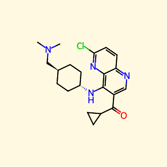 CN(C)C[C@H]1CC[C@H](Nc2c(C(=O)C3CC3)cnc3ccc(Cl)nc23)CC1